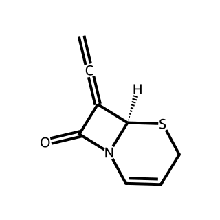 C=C=C1C(=O)N2C=CCS[C@H]12